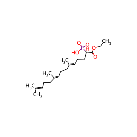 CCOC(=O)C(CC/C=C(\C)CC/C=C(\C)CCC=C(C)C)P(=O)(O)O